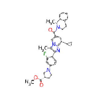 COC(=O)[C@H]1CCN(c2ccc(-c3nc4c(C5CC5)cc(C(=O)N5CCc6ccccc6[C@H]5C)cn4c3C)c(F)c2)C1